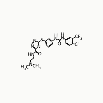 CN(C)CCNC(=O)c1ncnc(Sc2cccc(NC(=O)Nc3ccc(Cl)c(C(F)(F)F)c3)c2)n1